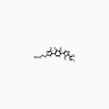 COCCn1cc(-c2ccc(-c3cnc(C(N)=O)n3C)c(F)c2F)c(C)n1